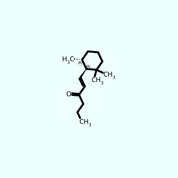 CCCC(=O)C=C[C@H]1[C@H](C)CCCC1(C)C